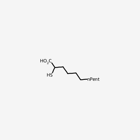 CCCCCCCCCC(S)C(=O)O